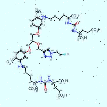 O=C(O)CC[C@H](NC(=O)N[C@@H](CCCCNc1cc(OCC(COc2ccc([N+](=O)[O-])c(NCCCC[C@@H](NC(=O)N[C@H](CCC(=O)O)C(=O)O)C(=O)O)c2)OCc2cn(CCF)nn2)ccc1[N+](=O)[O-])C(=O)O)C(=O)O